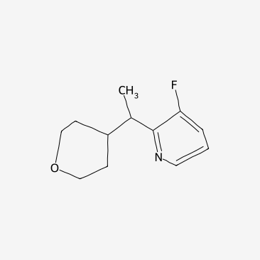 CC(c1ncccc1F)C1CCOCC1